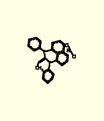 CC=C(P(c1ccccc1)c1ccccc1)P(c1ccccc1)c1ccccc1.[Cl][Ni][Cl]